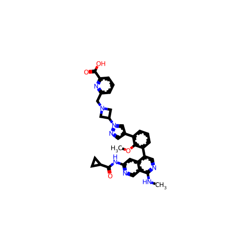 CNc1ncc(-c2cccc(-c3cnn(C4CN(Cc5cccc(C(=O)O)n5)C4)c3)c2OC)c2cc(NC(=O)C3CC3)ncc12